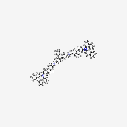 CC1(C)c2cc(/C=C/c3ccc4c5ccc(/C=C/c6ccc7c(c6)C(C)(C)c6cc(N(c8ccc9ccccc9c8)c8cccc9ccccc89)ccc6-7)cc5c5ccccc5c4c3)ccc2-c2ccc(N(c3ccc4ccccc4c3)c3cccc4ccccc34)cc21